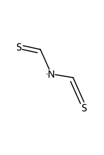 S=C[N]C=S